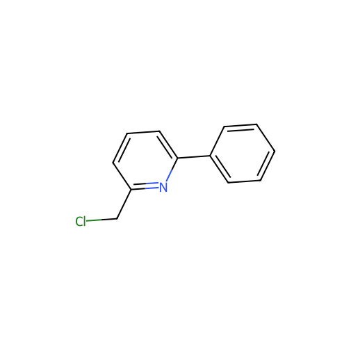 ClCc1cccc(-c2ccccc2)n1